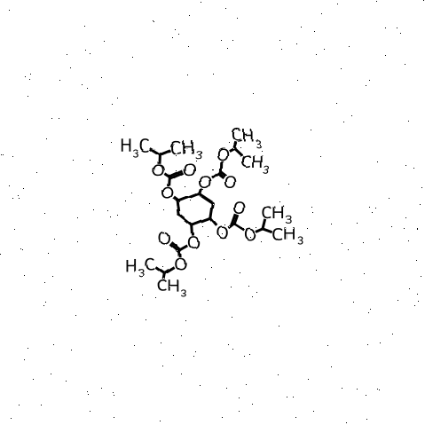 CC(C)OC(=O)OC1CC(OC(=O)OC(C)C)C(OC(=O)OC(C)C)CC1OC(=O)OC(C)C